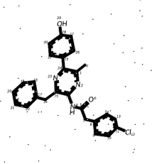 Cc1nc(NC(=O)Cc2ccc(Cl)cc2)c(Cc2ccccc2)nc1-c1ccc(O)cc1